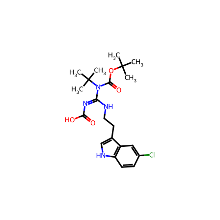 CC(C)(C)OC(=O)N(C(=NC(=O)O)NCCc1c[nH]c2ccc(Cl)cc12)C(C)(C)C